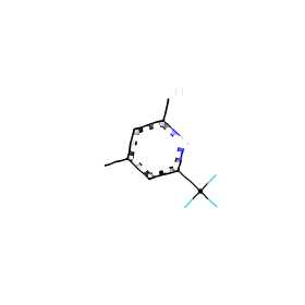 Cc1cc(C)nc(C(F)(F)F)c1